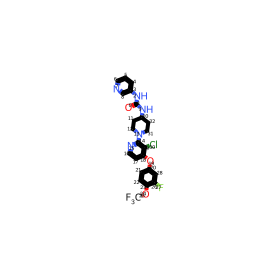 O=C(Nc1cccnc1)NC1CCN(c2nccc(Oc3ccc(OC(F)(F)F)c(F)c3)c2Cl)CC1